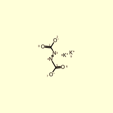 O=C([O-])N=NC(=O)[O-].[K+].[K+]